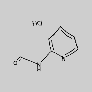 Cl.O=CNc1ccccn1